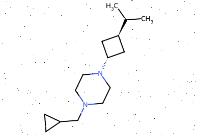 CC(C)[C@H]1C[C@H](N2CCN(CC3CC3)CC2)C1